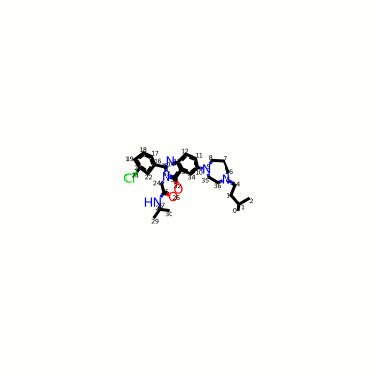 CC(C)CCN1CCCN(c2ccc3nc(-c4cccc(Cl)c4)n(CC(=O)NC(C)C)c(=O)c3c2)CC1